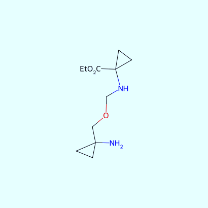 CCOC(=O)C1(NCOCC2(N)CC2)CC1